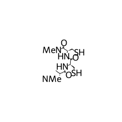 CNC(=O)[C@@H](CS)NC(=O)[C@@H](CS)NC(=O)[C@@H](C)NC